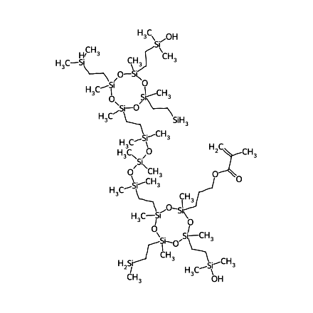 C=C(C)C(=O)OCCC[Si]1(C)O[Si](C)(CC[Si](C)(C)O)O[Si](C)(CC[SiH2]C)O[Si](C)(CC[Si](C)(C)O[Si](C)(C)O[Si](C)(C)CC[Si]2(C)O[Si](C)(CC[SiH3])O[Si](C)(CC[Si](C)(C)O)O[Si](C)(CC[SiH](C)C)O2)O1